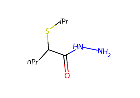 CCCC(SC(C)C)C(=O)NN